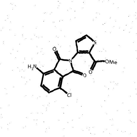 COC(=O)c1sccc1N1C(=O)c2c(N)ccc(Cl)c2C1=O